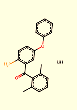 Cc1cccc(C)c1C(=O)c1cc(Oc2ccccc2)ccc1P.[LiH]